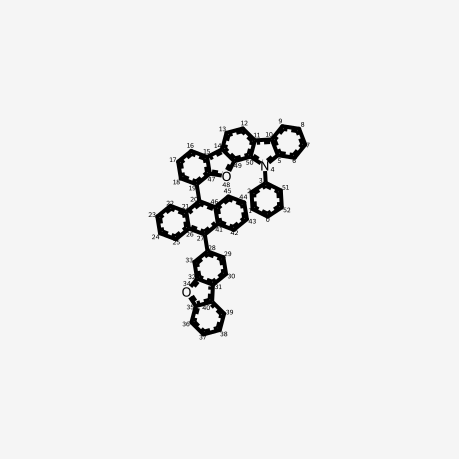 c1ccc(-n2c3ccccc3c3ccc4c5cccc(-c6c7ccccc7c(-c7ccc8c(c7)oc7ccccc78)c7ccccc67)c5oc4c32)cc1